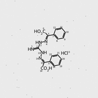 Cl.N=C(NN=C(C(=O)O)c1ccccc1)NN=C(C(=O)O)c1ccccc1